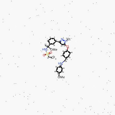 CCn1nc(-c2cccc(C(C)(NS(=O)(=O)CC(F)(F)F)OC)c2)cc1Oc1ccc(CNc2ccc(OC)cc2)cc1